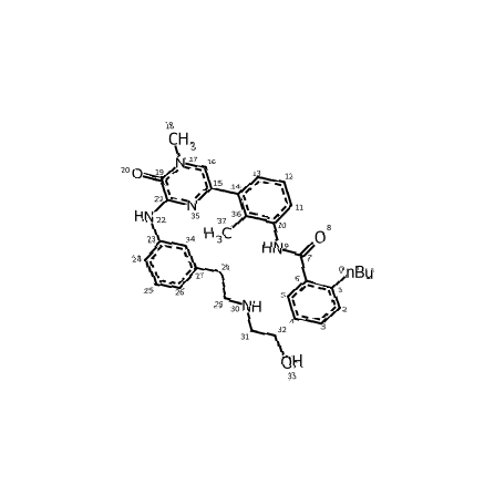 CCCCc1ccccc1C(=O)Nc1cccc(-c2cn(C)c(=O)c(Nc3cccc(CCNCCO)c3)n2)c1C